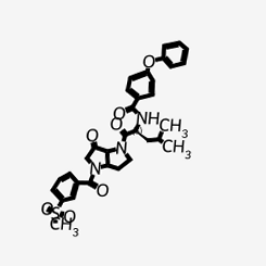 CC(C)C[C@H](NC(=O)c1ccc(Oc2ccccc2)cc1)C(=O)N1CCC2C1C(=O)CN2C(=O)c1cccc(S(C)(=O)=O)c1